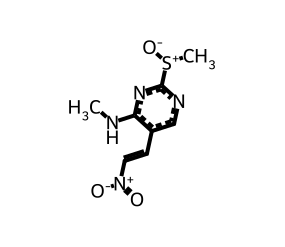 CNc1nc([S+](C)[O-])ncc1C=C[N+](=O)[O-]